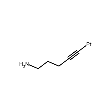 CCC#CCCCN